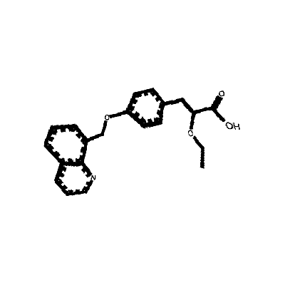 CCOC(Cc1ccc(OCc2cccc3cccnc23)cc1)C(=O)O